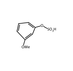 COc1cccc(OS(=O)(=O)O)c1